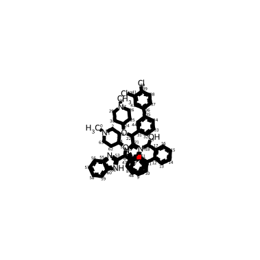 CN1CCC(OC(c2cccc(-c3ccccc3C(O)n3c(C(OC4CCN(C)CC4)c4cccc(-c5ccc(Cl)c(Cl)c5)c4)nc4ccccc43)c2)c2nc3ccccc3[nH]2)CC1